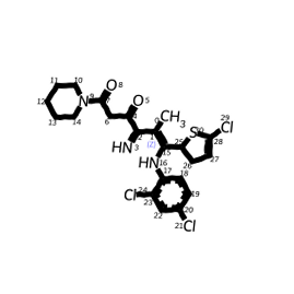 C/C(C(=N)C(=O)CC(=O)N1CCCCC1)=C(/Nc1ccc(Cl)cc1Cl)C1CC=C(Cl)S1